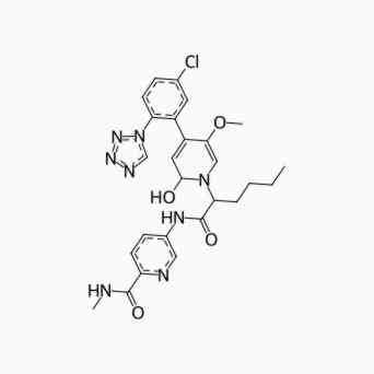 CCCCC(C(=O)Nc1ccc(C(=O)NC)nc1)N1C=C(OC)C(c2cc(Cl)ccc2-n2cnnn2)=CC1O